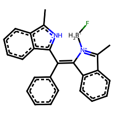 CC1=[N+]([BH2-]F)/C(=C(/c2ccccc2)c2[nH]c(C)c3ccccc23)c2ccccc21